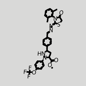 COC(=O)C1CC(c2ccc(/C=N/N=C3\SCC(=O)N3c3c(C)cccc3C)cc2)NN1c1ccc(OC(F)(F)F)cc1